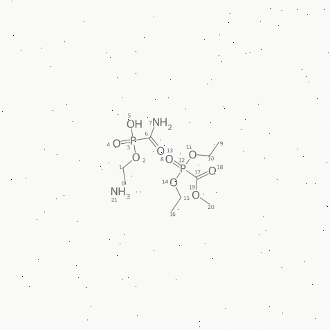 CCOP(=O)(O)C(N)=O.CCOP(=O)(OCC)C(=O)OC.N